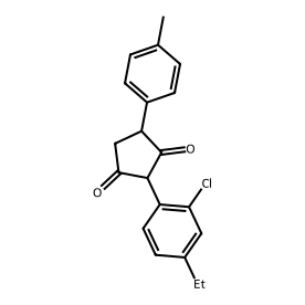 CCc1ccc(C2C(=O)CC(c3ccc(C)cc3)C2=O)c(Cl)c1